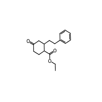 CCOC(=O)C1CCC(=O)CC1CCc1ccccc1